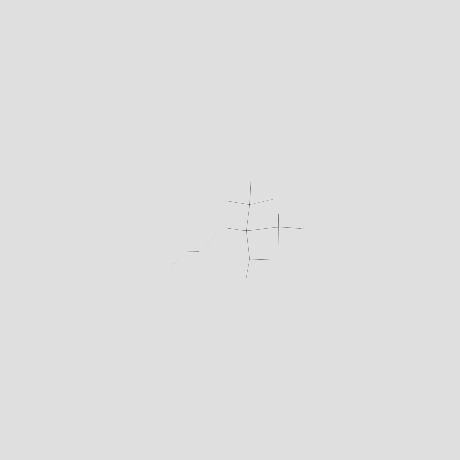 COS(=O)OC(C(F)(F)F)(C(F)(F)F)C(F)(F)F